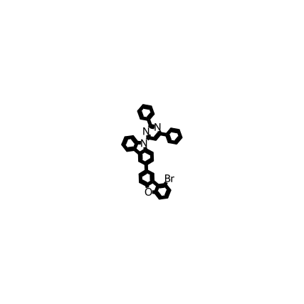 Brc1cccc2oc3ccc(-c4ccc5c(c4)c4ccccc4n5-c4cc(-c5ccccc5)nc(-c5ccccc5)n4)cc3c12